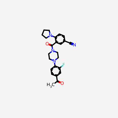 CC(=O)c1ccc(N2CCN(C(=O)c3cc(C#N)ccc3N3CCCC3)CC2)c(F)c1